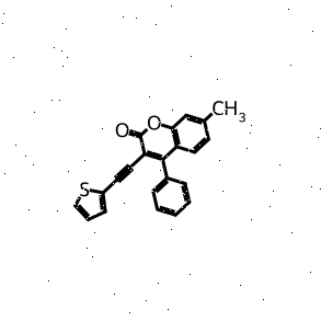 Cc1ccc2c(-c3ccccc3)c(C#Cc3cccs3)c(=O)oc2c1